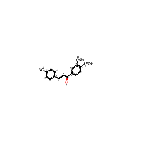 COc1ccc(C(=O)C=Cc2ccc(C#N)cc2)cc1OC